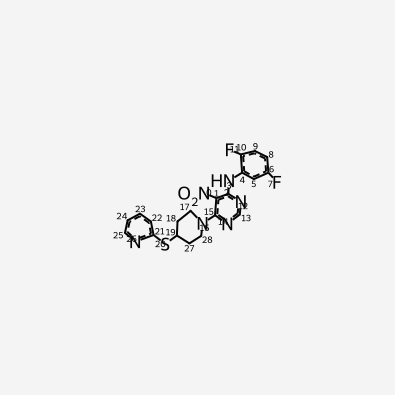 O=[N+]([O-])c1c(Nc2cc(F)ccc2F)ncnc1N1CCC(Sc2ccccn2)CC1